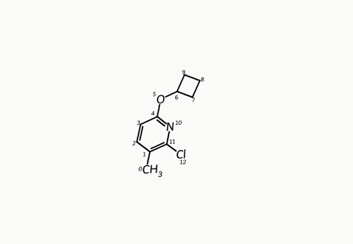 Cc1ccc(OC2CCC2)nc1Cl